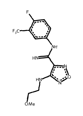 COCCNc1nonc1C(=N)Nc1ccc(F)c(C(F)(F)F)c1